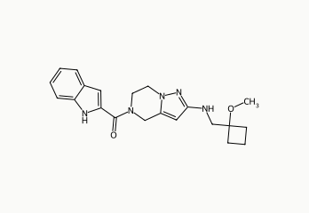 COC1(CNc2cc3n(n2)CCN(C(=O)c2cc4ccccc4[nH]2)C3)CCC1